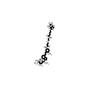 C=C1CC[C@@H](NC(=O)CCOCCNC(=O)CCCC[C@@H]2SC[C@@H]3NC(=O)N[C@@H]32)C/C1=C/C=C1\CCC[C@@]2(C)C1CC[C@@H]2C(C)/C=C/C(C)C(C)(C)O